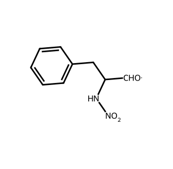 O=[C]C(Cc1ccccc1)N[N+](=O)[O-]